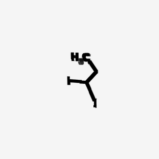 CCC(I)I